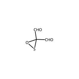 O=CC1(C=O)OS1